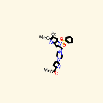 CCc1cc2c(cc(CN3CCN(c4ccc(C(=O)NC)nc4)CC3)n2S(=O)(=O)c2ccccc2)nc1OC